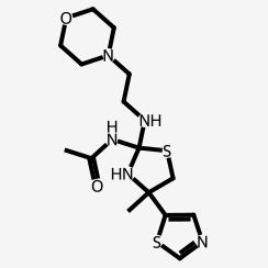 CC(=O)NC1(NCCN2CCOCC2)NC(C)(c2cncs2)CS1